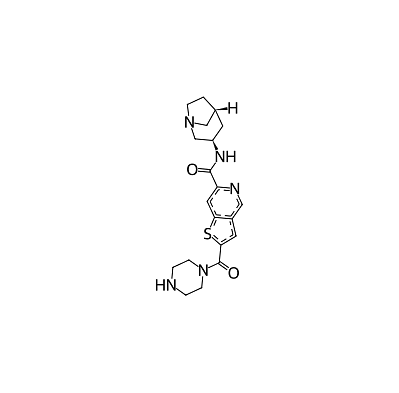 O=C(N[C@@H]1C[C@H]2CCN(C2)C1)c1cc2sc(C(=O)N3CCNCC3)cc2cn1